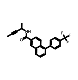 CC#CC(C)NC(=O)c1ccc2c(-c3ccc(C(F)(F)F)cc3)cccc2c1